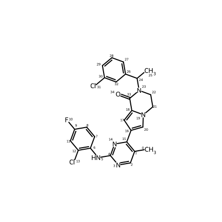 Cc1cnc(Nc2ccc(F)cc2Cl)nc1-c1cc2n(c1)CCN(C(C)c1cccc(Cl)c1)C2=O